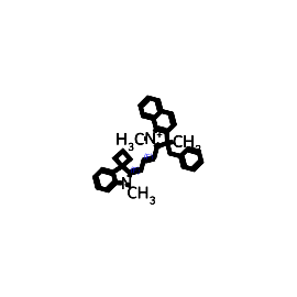 CN1/C(=C/C=C/C2=[N+](C)c3c(ccc4ccccc34)C2(C)Cc2ccccc2)C2(CCC2)c2ccccc21